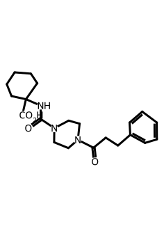 O=C(CCc1ccccc1)N1CCN(C(=O)NC2(C(=O)O)CCCCC2)CC1